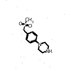 CS(=O)(=O)[CH]c1ccc(N2CCNCC2)cc1